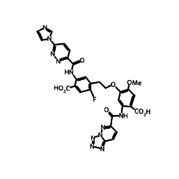 COc1cc(C(=O)O)c(NC(=O)c2ccc3nnnn3n2)cc1OCCc1cc(NC(=O)c2ccc(-n3ccnc3)nn2)c(C(=O)O)cc1F